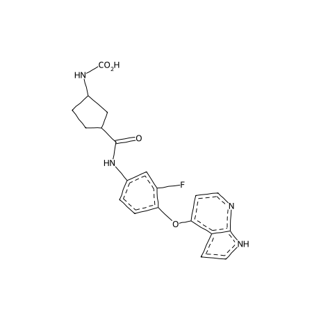 O=C(O)NC1CCC(C(=O)Nc2ccc(Oc3ccnc4[nH]ccc34)c(F)c2)C1